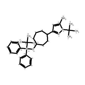 CC(C)(C)n1nc(C2CCCC(O[Si](c3ccccc3)(c3ccccc3)C(C)(C)C)CC2)cc1N